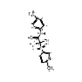 Cc1ccc(S(=O)(=O)C(C)(C)C(=O)Nc2ccc(C(F)(F)F)cn2)cn1